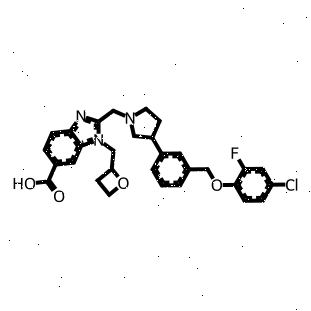 O=C(O)c1ccc2nc(CN3CCC(c4cccc(COc5ccc(Cl)cc5F)c4)C3)n(CC3CCO3)c2c1